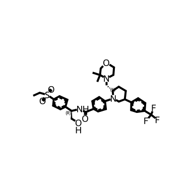 CCS(=O)(=O)c1ccc([C@H](CO)NC(=O)c2ccc(N3CC(c4ccc(C(F)(F)F)cc4)CC[C@H]3CN3CCOCC3(C)C)cc2)cc1